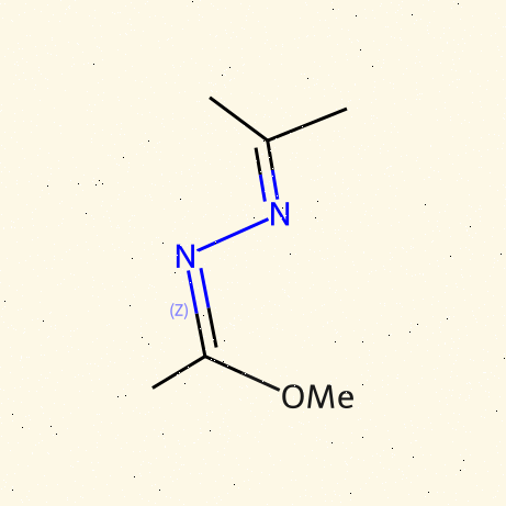 CO/C(C)=N\N=C(C)C